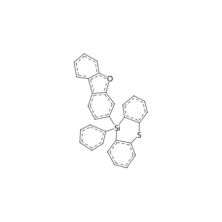 c1ccc([Si]2(c3ccc4c(c3)oc3ccccc34)c3ccccc3Sc3ccccc32)cc1